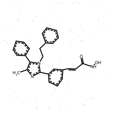 Cc1nc(-c2cccc(C=CC(=O)NO)c2)n(CCc2ccccc2)c1-c1ccccc1